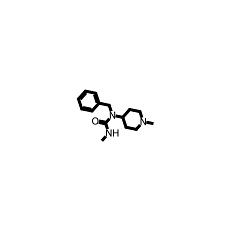 CNC(=O)N(Cc1ccccc1)C1CCN(C)CC1